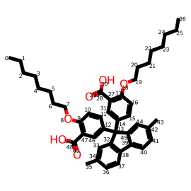 CCCCCCCCOc1ccc(C2(c3ccc(OCCCCCCCC)c(C(=O)O)c3)c3cc(C)ccc3-c3ccc(C)cc32)cc1C(=O)O